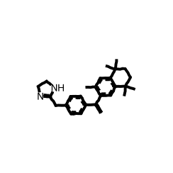 C=C(c1ccc(CC2=NCCN2)cc1)c1cc2c(cc1C)C(C)(C)CCC2(C)C